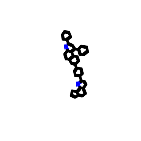 C1=Cc2ccc3ccc(-c4ccc(-c5ccc6c(ccc7nc(-c8ccccc8)cc(-c8ccccc8)c76)c5)cc4)nc3c2C1